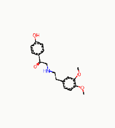 COc1ccc(CCNCC(=O)c2ccc(O)cc2)cc1OC